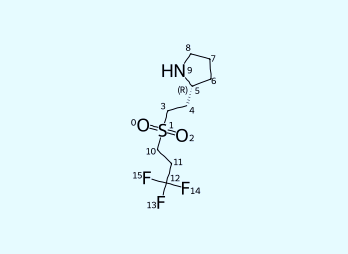 O=S(=O)(CC[C@H]1CCCN1)CCC(F)(F)F